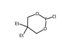 CCC1(CC)COP(Cl)OC1